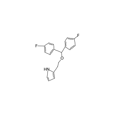 Fc1ccc(C(OCCc2ccc[nH]2)c2ccc(F)cc2)cc1